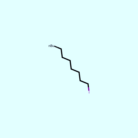 CCCCCCCCCCCI